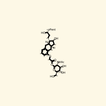 CCCCC[C@@H](O)CC[C@H]1[C@@H]2Cc3cccc(OCC(=O)OC4O[C@H](CO)[C@@H](O)[C@H](O)[C@H]4NC(C)=O)c3C[C@@H]2C[C@@H]1O